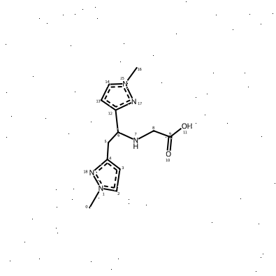 Cn1ccc(CC(NCC(=O)O)c2ccn(C)n2)n1